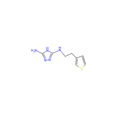 Nc1nnc(NCCc2ccsc2)[nH]1